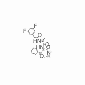 C[C@H](NC(=O)Cc1cc(F)cc(F)c1)C(=O)N[C@@H]1C(=O)N(C)[C@H](C)CO[C@@H]1c1ccccc1